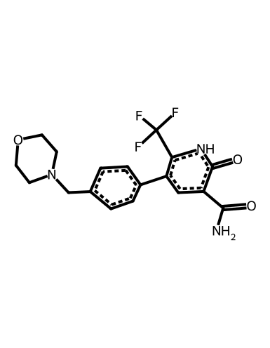 NC(=O)c1cc(-c2ccc(CN3CCOCC3)cc2)c(C(F)(F)F)[nH]c1=O